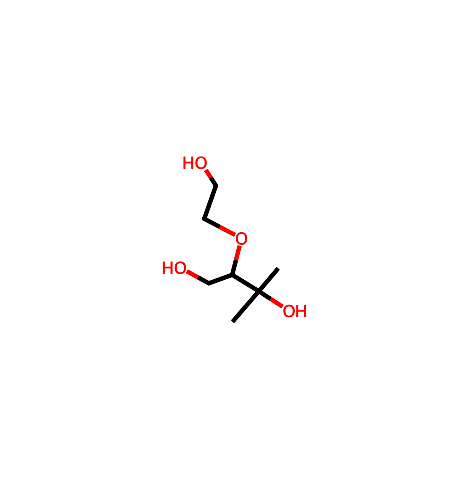 CC(C)(O)C(CO)OCCO